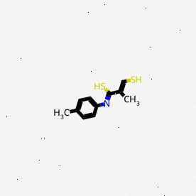 CC(=C\S)/C(S)=N/c1ccc(C)cc1